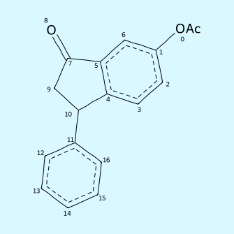 CC(=O)Oc1ccc2c(c1)C(=O)CC2c1ccccc1